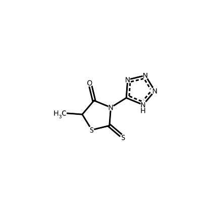 CC1SC(=S)N(c2nnn[nH]2)C1=O